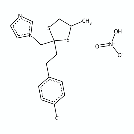 CC1CSC(CCc2ccc(Cl)cc2)(Cn2ccnc2)S1.O=[N+]([O-])O